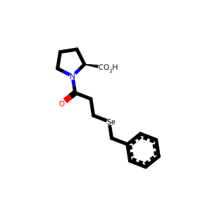 O=C(O)[C@@H]1CCCN1C(=O)CC[Se]Cc1ccccc1